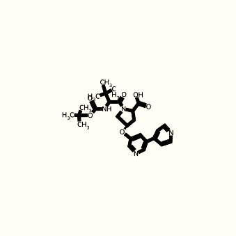 CC(C)(C)OC(=O)NC(C(=O)N1C[C@H](Oc2cncc(-c3ccncc3)c2)CC1C(=O)O)C(C)(C)C